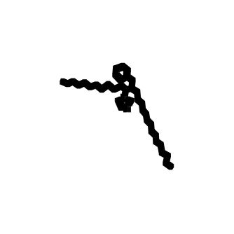 CCCCCCCCCCCCCCCC(Cc1ccccc1)C(CCCCCCCCCCC)n1ccnc1